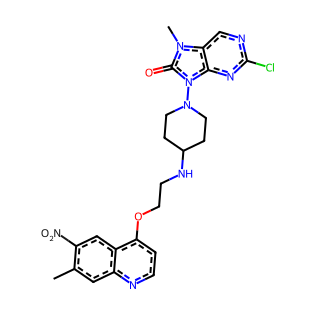 Cc1cc2nccc(OCCNC3CCN(n4c(=O)n(C)c5cnc(Cl)nc54)CC3)c2cc1[N+](=O)[O-]